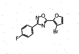 Fc1ccc(-c2noc(-c3occc3Br)n2)cc1